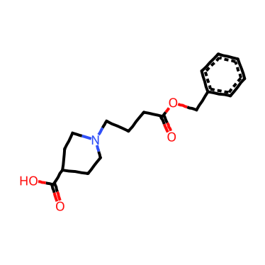 O=C(CCCN1CCC(C(=O)O)CC1)OCc1ccccc1